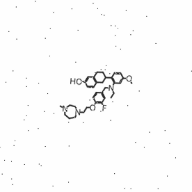 CCN(Cc1ccc(OCCN2CCCN(C)CC2)c(F)c1)c1cc(OC)ccc1C1CCc2cc(O)ccc2C1